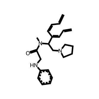 C=C/C=C\C(=C/C=C)C(CN1CCCC1)N(C)C(=O)CNc1ccccc1